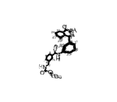 CC(C)(C)OC(=O)NCc1cccc(C(=O)Nc2cccc(-c3n[nH]c(=O)c4ccccc34)c2)c1